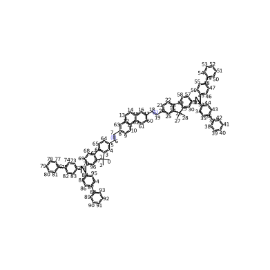 CC1(C)c2cc(/C=C/c3ccc4c(ccc5cc(/C=C/c6ccc7c(c6)C(C)(C)c6cc(N(c8ccc(-c9ccccc9)cc8)c8ccc(-c9ccccc9)cc8)ccc6-7)ccc54)c3)ccc2-c2ccc(N(c3ccc(-c4ccccc4)cc3)c3ccc(-c4ccccc4)cc3)cc21